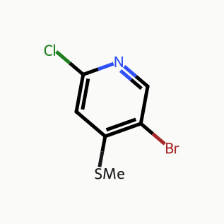 CSc1cc(Cl)ncc1Br